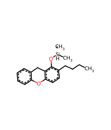 CCCCc1ccc2c(c1O[SiH](C)C)Cc1ccccc1O2